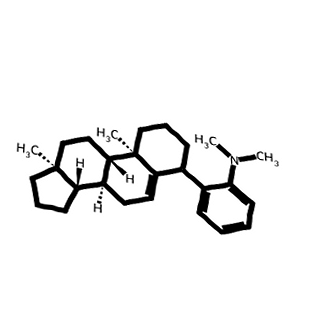 CN(C)c1ccccc1C1CCC[C@@]2(C)C1=CC[C@H]1[C@@H]3CCC[C@@]3(C)CC[C@@H]12